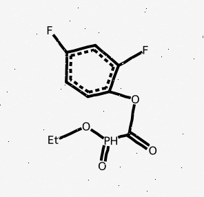 CCO[PH](=O)C(=O)Oc1ccc(F)cc1F